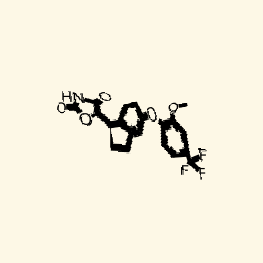 COc1cc(C(F)(F)F)ccc1Oc1ccc2c(c1)CC[C@H]2[C@H]1OC(=O)NC1=O